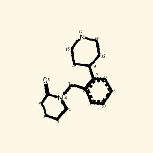 O=C1CCCCN1Cc1ccccc1C1CC[N]CC1